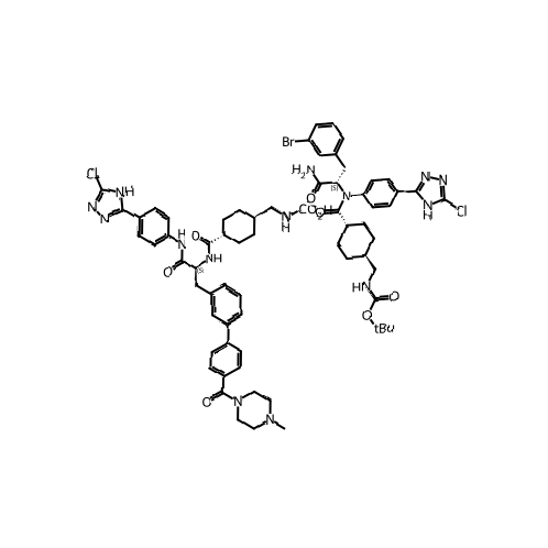 CC(C)(C)OC(=O)NC[C@H]1CC[C@H](C(=O)N(c2ccc(-c3nnc(Cl)[nH]3)cc2)[C@@H](Cc2cccc(Br)c2)C(N)=O)CC1.CN1CCN(C(=O)c2ccc(-c3cccc(C[C@H](NC(=O)[C@H]4CC[C@H](CNC(=O)O)CC4)C(=O)Nc4ccc(-c5nnc(Cl)[nH]5)cc4)c3)cc2)CC1